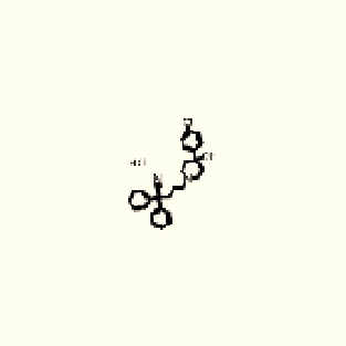 Cl.N#CC(CCCN1CCC(O)(c2ccc(Cl)cc2)CC1)(c1ccccc1)c1ccccc1